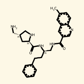 Cc1ccc2ncc(C(=O)NC[C@@H](CCc3ccccc3)NC(=O)[C@H]3C[C@H](CN)CN3)cc2c1